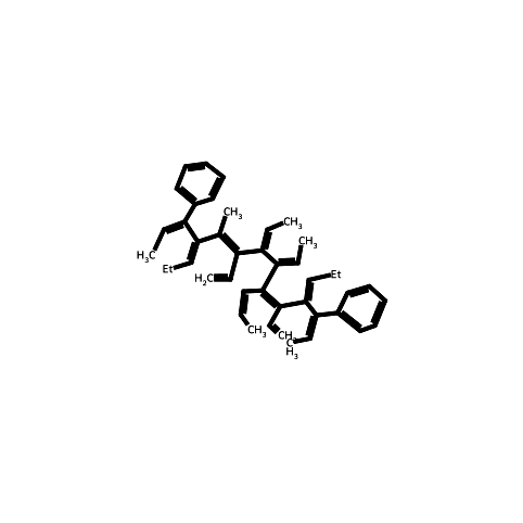 C=CC(=C(\C=C/C)C(=C/C)/C(=C\C)C(/C=C)=C(C)/C(=C/CC)C(=C\C)/c1ccccc1)/C(=C/CC)C(=C\C)/c1ccccc1